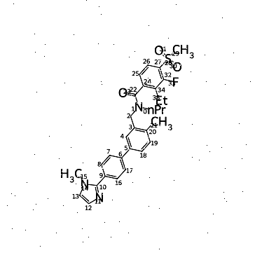 CCCN(Cc1cc(-c2ccc(-c3nccn3C)cc2)ccc1C)C(=O)c1ccc(S(C)(=O)=O)c(F)c1CC